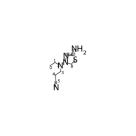 CCN(CCC#N)N1CSC(N)=N1